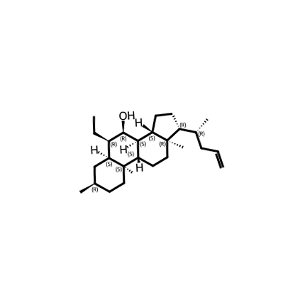 C=CC[C@@H](C)[C@H]1CC[C@H]2[C@@H]3[C@H](O)[C@H](CC)[C@@H]4C[C@H](C)CC[C@]4(C)[C@H]3CC[C@]12C